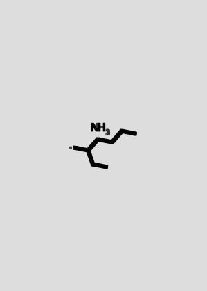 N.[CH2]C(CC)CCCC